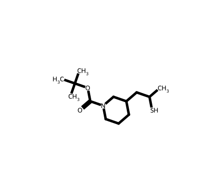 CC(S)CC1CCCN(C(=O)OC(C)(C)C)C1